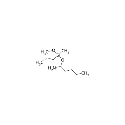 CCCCC(N)O[Si](C)(CCC)OC